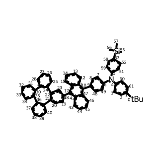 CC(C)(C)c1ccc(N(c2ccc(-c3c4ccccc4c(-c4ccc5c(c4)-c4ccccc4-c4ccccc4-c4ccccc4-5)c4ccccc34)cc2)c2ccc([Si](C)(C)C)cc2)cc1